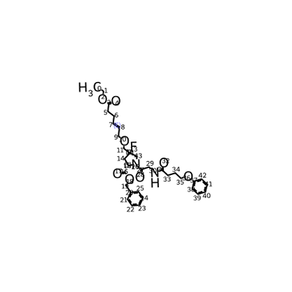 CCOC(=O)CC/C=C/COC[C@@]1(F)C[C@@H](C(=O)OCc2ccccc2)N(C(=O)CNC(=O)CCCOc2ccccc2)C1